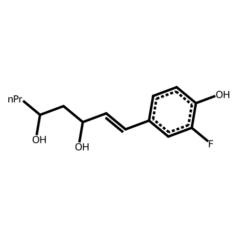 CCCC(O)CC(O)/C=C/c1ccc(O)c(F)c1